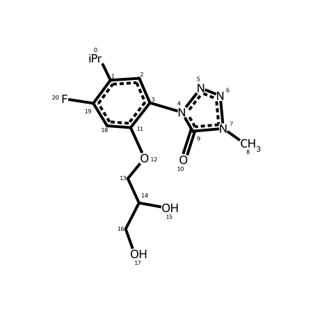 CC(C)c1cc(-n2nnn(C)c2=O)c(OCC(O)CO)cc1F